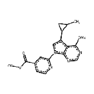 COc1ncnc2c1c(C1CC1C)cn2-c1cc(C(=O)ON=O)ccn1